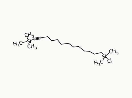 C[Si](C)(C)C#CCCCCCCCCCCC[Si](C)(C)Cl